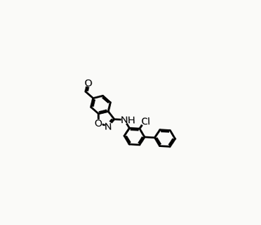 O=Cc1ccc2c(Nc3cccc(-c4ccccc4)c3Cl)noc2c1